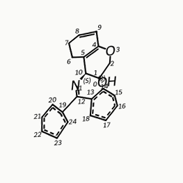 O[C@H]1COC2=C(CCC=C2)[C@@H]1N=C(c1ccccc1)c1ccccc1